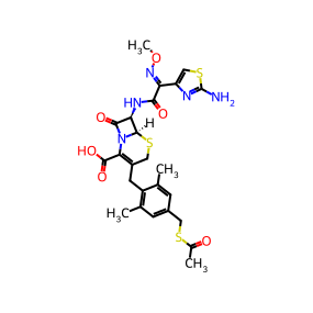 CON=C(C(=O)N[C@@H]1C(=O)N2C(C(=O)O)=C(Cc3c(C)cc(CSC(C)=O)cc3C)CS[C@H]12)c1csc(N)n1